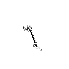 C=CC(=O)OCCCCCCCCCC[Si](C)(OCC)OCC